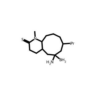 BC1(N)CC(C(C)C)CCCC2C(CCC(=S)N2C)C1